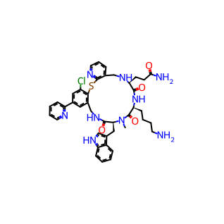 CN1C(=O)[C@H](CCCCN)NC(=O)[C@H](CCC(N)=O)NCc2cccnc2Sc2c(Cl)cc(-c3ccccn3)cc2CNC(=O)[C@@H]1Cc1c[nH]c2ccccc12